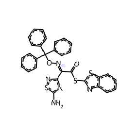 Nc1nc(/C(=N\OC(c2ccccc2)(c2ccccc2)c2ccccc2)C(=O)Sc2nc3ccccc3s2)ns1